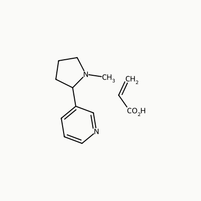 C=CC(=O)O.CN1CCCC1c1cccnc1